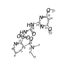 CCN(C)C(=O)c1cccnc1S(=O)(=O)NC(=O)Nc1nc(OC)cc(OC)n1